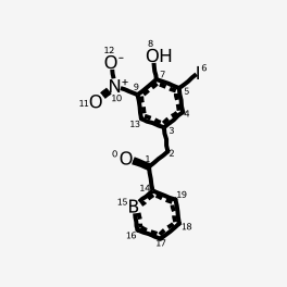 O=C(Cc1cc(I)c(O)c([N+](=O)[O-])c1)c1bcccc1